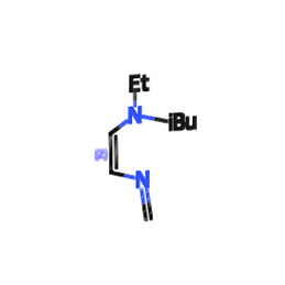 C=N/C=C\N(CC)C(C)CC